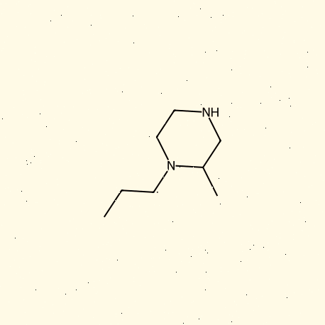 CC[CH]N1CCNCC1C